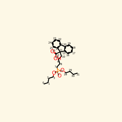 CCCCOP(=O)(CCCCC1(C(=O)O)c2ccccc2-c2ccccc21)OCCCC